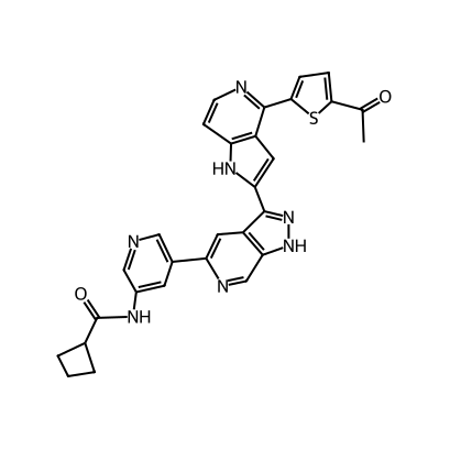 CC(=O)c1ccc(-c2nccc3[nH]c(-c4n[nH]c5cnc(-c6cncc(NC(=O)C7CCC7)c6)cc45)cc23)s1